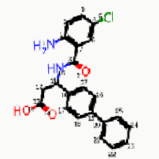 Nc1ccc(Cl)cc1C(=O)NC(CC(=O)O)c1ccc(-c2ccccc2)cc1